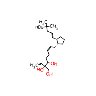 C=CC(O)(CO)C(O)CC/C=C\C[C@H]1CCC[C@@H]1/C=C/CC(C)(C)CCCC